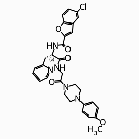 COc1ccc(N2CCN(C(=O)CNC(=O)[C@H](Cc3ccccn3)NC(=O)c3cc4cc(Cl)ccc4o3)CC2)cc1